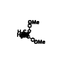 CC(C)O.CC(C)O.COc1ccc(C2=CC[C]([Hf]([C]3=CC(c4ccc(OC)cc4)=CC3)=[C](C)C)=C2)cc1